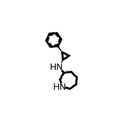 c1ccc([C@H]2C[C@@H]2NC2CCCCNC2)cc1